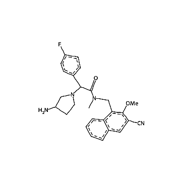 COc1c(C#N)cc2ccccc2c1CN(C)C(=O)C(c1ccc(F)cc1)N1CCC(N)C1